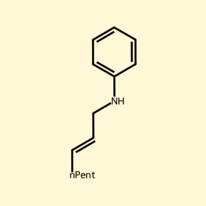 CCCCC/C=C/CNc1ccccc1